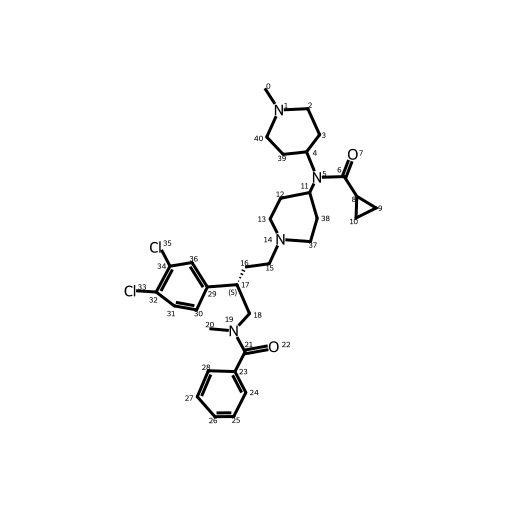 CN1CCC(N(C(=O)C2CC2)C2CCN(CC[C@H](CN(C)C(=O)c3ccccc3)c3ccc(Cl)c(Cl)c3)CC2)CC1